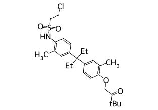 CCC(CC)(c1ccc(NS(=O)(=O)CCCl)c(C)c1)c1ccc(OCC(=O)C(C)(C)C)c(C)c1